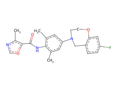 Cc1cc(N2CCOc3cc(F)ccc3C2)cc(C)c1NC(=O)c1ocnc1C